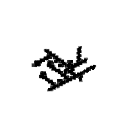 CCCSCCCOCC(COC(COCC(COCC(O)COCC(COCC)OCCCSCCCS(=O)(=O)O)OCC(COCCCSCCCS(=O)(=O)O)OCC)COC(COCC(CO)OCC(O)COCC(O)COCC(COCC)OCCCSCCCS(=O)(=O)O)COC(C)COCC(COCC)OCCCSCCC)OCC